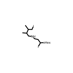 CCCCCCC(I)CCNCC(C)C(C)CI